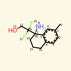 Cc1ccc2c(c1)[C@@](N)(C(F)(F)CO)CCC2